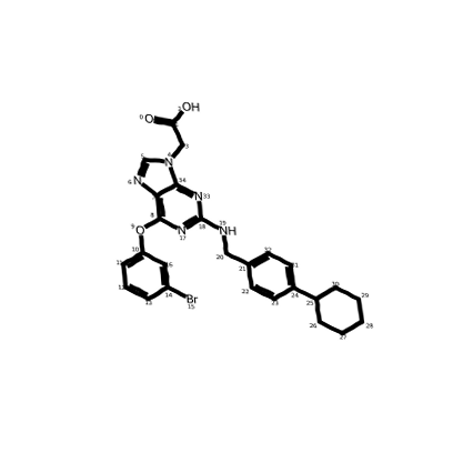 O=C(O)Cn1cnc2c(Oc3cccc(Br)c3)nc(NCc3ccc(C4CCCCC4)cc3)nc21